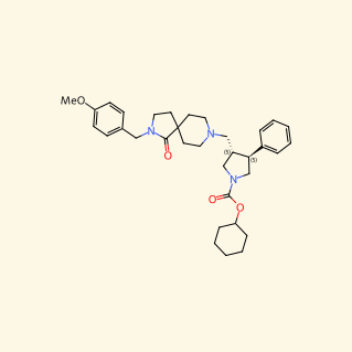 COc1ccc(CN2CCC3(CCN(C[C@H]4CN(C(=O)OC5CCCCC5)C[C@@H]4c4ccccc4)CC3)C2=O)cc1